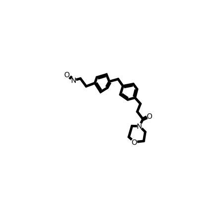 O=NCCc1ccc(Cc2ccc(CCC(=O)N3CCOCC3)cc2)cc1